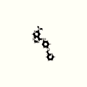 CN(C)c1cc2c(Nc3ccc(OCc4ccccn4)cc3)ncnc2cn1